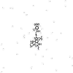 C/C=C/C(=O)Nc1cc(N[C@@H]2CCN(C)C[C@@H]2F)c2nc(C#CCNc3ccc(S(C)(=O)=O)cc3OC)c(CC(F)(F)F)n2c1